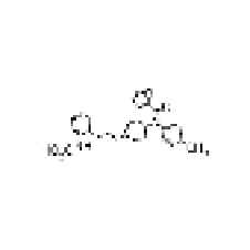 Cc1ccc(N(C(=O)c2ccco2)C2CCN(CCCc3ccccc3NC(=O)O)CC2)cc1